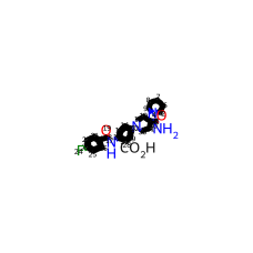 NC(=O)C1(N2CCCCC2)CCN(c2ccc(NC(=O)c3ccc(F)cc3)c(C(=O)O)c2)CC1